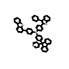 c1ccc(-c2c(-c3ccc(N(c4ccc(-c5cccc6c5sc5ccccc56)cc4)c4ccc(C5(c6ccncc6)c6ccccc6-c6ccccc65)cc4)cc3)oc3ccccc23)cc1